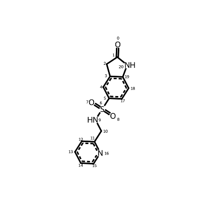 O=C1Cc2cc(S(=O)(=O)NCc3ccccn3)ccc2N1